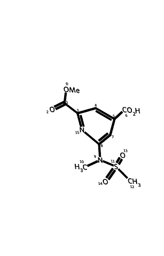 COC(=O)c1cc(C(=O)O)cc(N(C)S(C)(=O)=O)n1